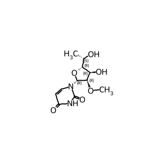 CO[C@@H]1[C@H](O)[C@@H]([C@H](C)O)O[C@H]1n1ccc(=O)[nH]c1=O